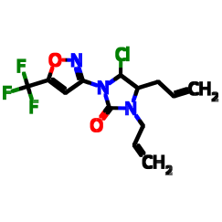 C=CCC1C(Cl)N(c2cc(C(F)(F)F)on2)C(=O)N1CC=C